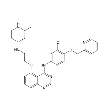 CC1CC(NCCOc2cccc3ncnc(Nc4ccc(OCc5ccccn5)c(Cl)c4)c23)CCN1